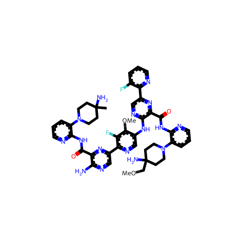 COCC1(N)CCN(c2cccnc2NC(=O)c2nc(-c3ncccc3F)cnc2Nc2cnc(-c3cnc(N)c(C(=O)Nc4ncccc4N4CCC(C)(N)CC4)n3)c(F)c2OC)CC1